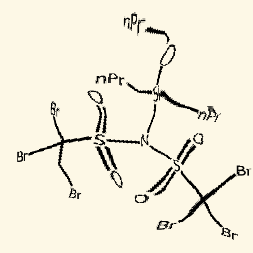 CCCO[Si](CCC)(CCC)N(S(=O)(=O)C(Br)(Br)Br)S(=O)(=O)C(Br)(Br)Br